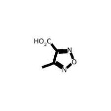 Cc1nonc1C(=O)O